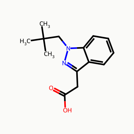 CC(C)(C)Cn1nc(CC(=O)O)c2ccccc21